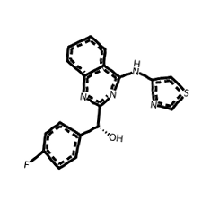 O[C@H](c1ccc(F)cc1)c1nc(Nc2cscn2)c2ccccc2n1